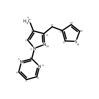 Cc1cn(-c2ncccn2)nc1Cc1ccsc1